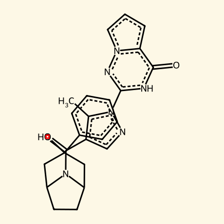 Cc1c(C(=O)N2C3CCC2CC(O)(c2ccccc2)C3)cnn1-c1nn2cccc2c(=O)[nH]1